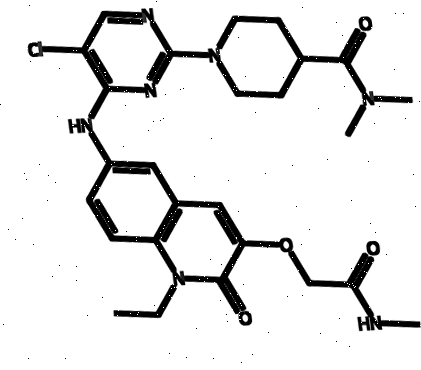 CCn1c(=O)c(OCC(=O)NC)cc2cc(Nc3nc(N4CCC(C(=O)N(C)C)CC4)ncc3Cl)ccc21